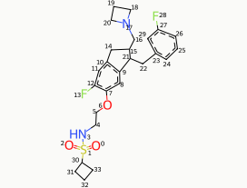 O=S(=O)(NCCOc1cc2c(cc1F)CC(CN1CCC1)C2Cc1cccc(F)c1)C1CCC1